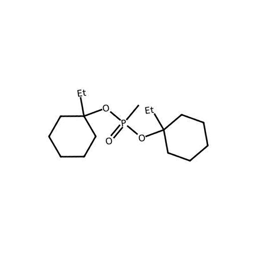 CCC1(OP(C)(=O)OC2(CC)CCCCC2)CCCCC1